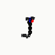 CC(C)N(C(=O)N1CCc2cc(-c3ccc(C4CCC(CC(=O)O)CC4)cc3)ccc21)C(C)C